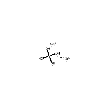 O[Si](O)(O)O.[Al+3].[Mg+2].[Mg+2]